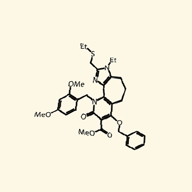 CCSCc1nc2c(n1CC)CCCc1c(OCc3ccccc3)c(C(=O)OC)c(=O)n(Cc3ccc(OC)cc3OC)c1-2